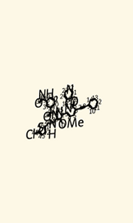 COc1c(-c2ccc(C#Cc3ccccc3)c(=O)n2Cc2ccncc2)nn(C(=O)c2cccc(C(N)=O)c2)c1NCc1ccc(Cl)s1